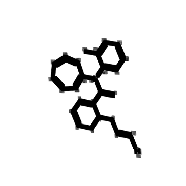 C=C(C1=CC=CCC1CC=CCC)N(C1=CC=CC=C=C1)c1ccccc1C